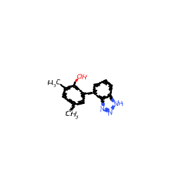 Cc1cc(C)c(O)c(-c2cccc3[nH]nnc23)c1